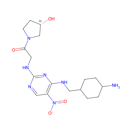 NC1CCC(CNc2nc(NCC(=O)N3CC[C@H](O)C3)ncc2[N+](=O)[O-])CC1